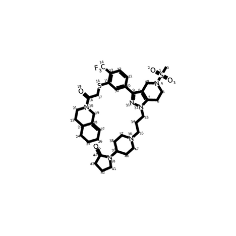 CS(=O)(=O)N1CCc2c(c(-c3ccc(C(F)(F)F)c(SCC(=O)N4CCC5CCCC=C5C4)c3)nn2CCCN2CCC(N3CCCC3=O)CC2)C1